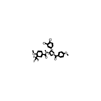 COc1ccc(C(=O)N2C[C@@H](N(C)C(=O)c3ccc(OC)c(C(F)(F)F)c3)[C@H](c3ccc(Cl)c(Cl)c3)C2)cc1